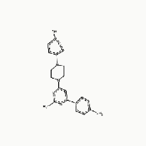 Cc1ccc(-c2cc(N3CCN(c4ccc(O)cc4)CC3)nc(C)n2)cc1